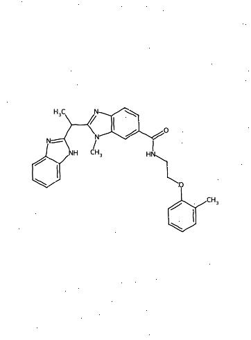 Cc1ccccc1OCCNC(=O)c1ccc2nc(C(C)c3nc4ccccc4[nH]3)n(C)c2c1